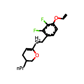 C=COc1ccc(C[SiH2]C2=CCC(CCC)CO2)c(F)c1F